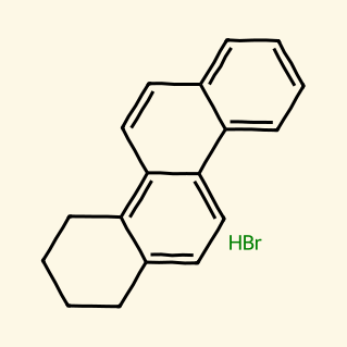 Br.c1ccc2c(c1)ccc1c3c(ccc12)CCCC3